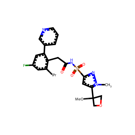 COC1(c2cc(S(=O)(=O)NC(=O)Cc3c(-c4cccnc4)cc(F)cc3C(C)C)nn2C)COC1